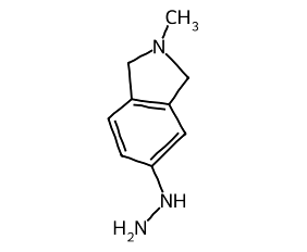 CN1Cc2ccc(NN)cc2C1